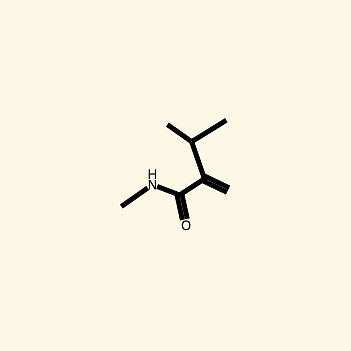 C=C(C(=O)NC)C(C)C